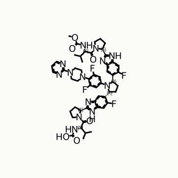 COC(=O)N[C@H](C(=O)N1CCC[C@H]1c1nc2cc([C@H]3CC[C@H](c4cc5nc([C@@H]6CCCN6C(=O)[C@@H](NC(=O)O)C(C)C)[nH]c5cc4F)N3c3cc(F)c(N4CCN(c5ncccn5)CC4)c(F)c3)c(F)cc2[nH]1)C(C)C